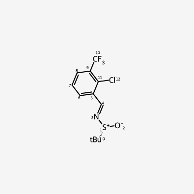 CC(C)(C)[S@@+]([O-])/N=C/c1cccc(C(F)(F)F)c1Cl